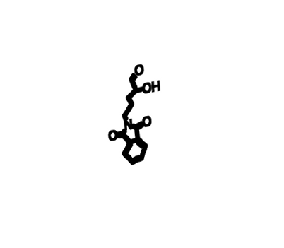 O=CC(O)CCCN1C(=O)c2ccccc2C1=O